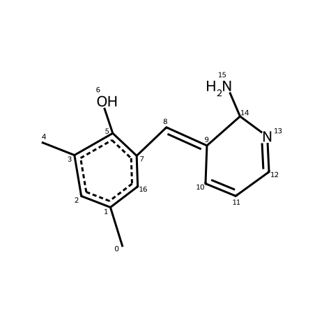 Cc1cc(C)c(O)c(C=C2C=CC=NC2N)c1